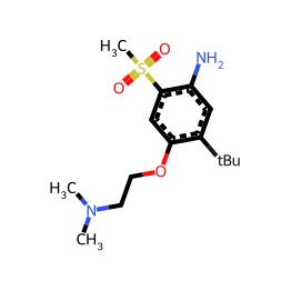 CN(C)CCOc1cc(S(C)(=O)=O)c(N)cc1C(C)(C)C